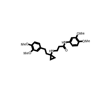 COc1ccc(CCC2(NCCC(=O)Nc3ccc(OC)c(OC)c3)CC2)cc1OC